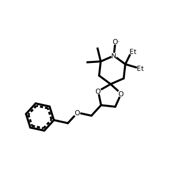 CCC1(CC)CC2(CC(C)(C)N1[O])OCC(COCc1ccccc1)O2